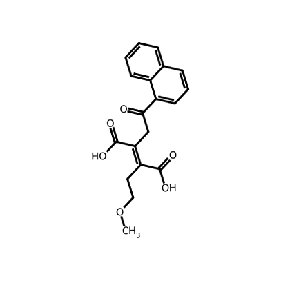 COCCC(C(=O)O)=C(CC(=O)c1cccc2ccccc12)C(=O)O